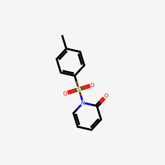 Cc1ccc(S(=O)(=O)n2ccccc2=O)cc1